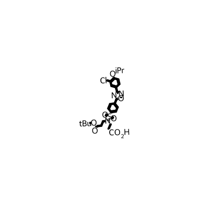 CC(C)Oc1ccc(-c2noc(-c3ccc(S(=O)(=O)N(CCC(=O)O)CCC(=O)OC(C)(C)C)cc3)n2)cc1Cl